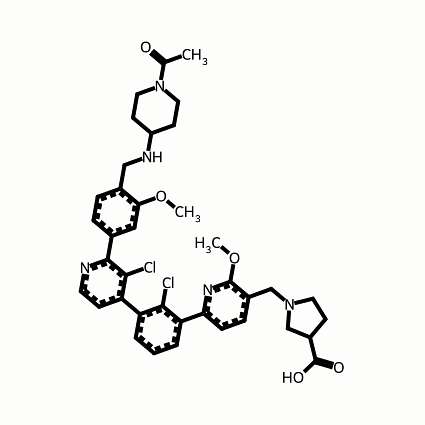 COc1cc(-c2nccc(-c3cccc(-c4ccc(CN5CCC(C(=O)O)C5)c(OC)n4)c3Cl)c2Cl)ccc1CNC1CCN(C(C)=O)CC1